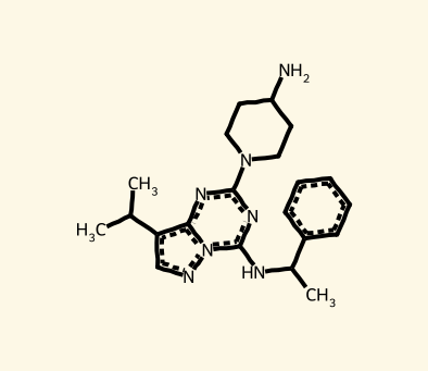 CC(C)c1cnn2c(NC(C)c3ccccc3)nc(N3CCC(N)CC3)nc12